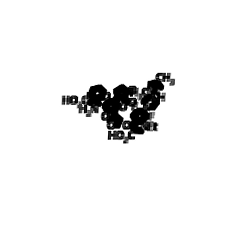 CCn1cc(C(=O)O)c(=O)c2cc(F)c(N3CCNC(C)C3)c(F)c21.COc1cc2c(c3oc(=O)c4c(c13)CCC4=O)C1C=COC1O2.Cc1cn[nH]c1.NCC1(CC(=O)O)CCCCC1